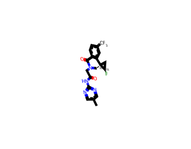 Cc1cnc(NC(=O)CN2C[C@@]3(C[C@@H]3F)c3cc(C(F)(F)F)ccc3C2=O)nc1